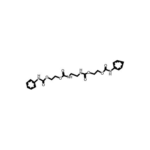 O=C(NCCNC(=O)OCCOC(=O)Nc1ccccc1)OCCOC(=O)Nc1ccccc1